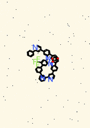 N#Cc1cccc(-c2cc(-n3c4ccccc4c4ccc(-c5ccnc(-c6ccccc6)c5)cc43)c(-n3c4ccccc4c4ccc(-c5ccnc(-c6ccccc6)c5)cc43)cc2C(F)(F)F)c1